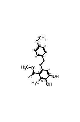 COC(=O)c1c(CCc2ccc(OC)cc2)cc(O)c(O)c1C